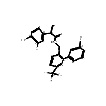 CC(C(=O)NCc1ccc(C(F)(F)F)cc1-c1cccc(F)c1)c1ccc(N)c(F)c1